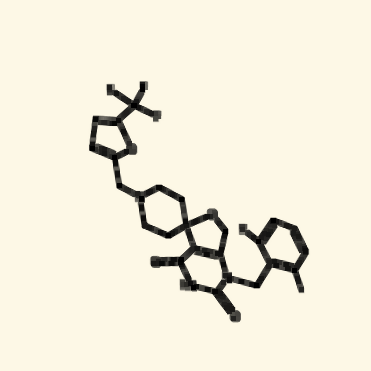 Cc1cccc(F)c1Cn1c2c(c(=O)[nH]c1=O)C1(CCN(Cc3ccc(C(F)(F)F)o3)CC1)OC2